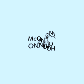 COC(=O)N1C[C@@H](Oc2cc(C)ccn2)C[C@H](C(=O)NO)[C@H]1C(=O)N1CCN(c2ccccc2)CC1